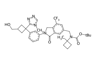 Cn1cnnc1C1(c2cccc(N3Cc4c(cc(CN(C(=O)OC(C)(C)C)C5(C)CCC5)cc4C(F)(F)F)C3=O)c2)CC(CO)C1